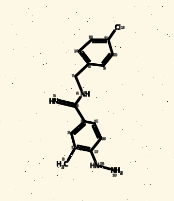 Cc1cc(C(=N)NCc2ccc(Cl)cc2)ccc1NN